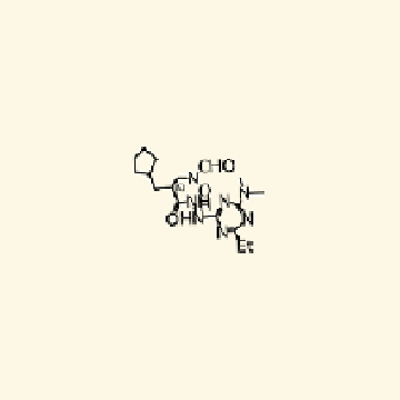 CCc1nc(NNC(=O)[C@@H](CC2CCCC2)CN(O)C=O)nc(N(C)C)n1